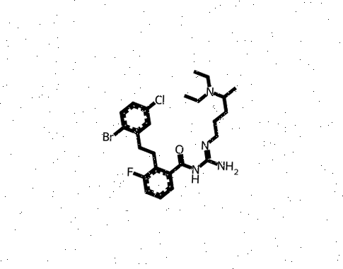 CCN(CC)C(C)CCCN=C(N)NC(=O)c1cccc(F)c1CCc1cc(Cl)ccc1Br